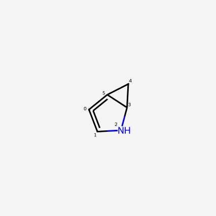 C1=CNC2CC=12